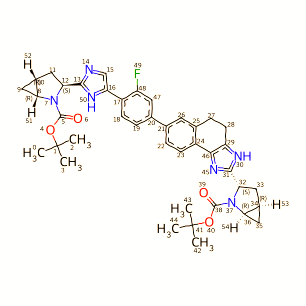 CC(C)(C)OC(=O)N1[C@@H]2C[C@@H]2C[C@H]1c1ncc(-c2ccc(-c3ccc4c(c3)CCc3[nH]c([C@@H]5C[C@H]6C[C@H]6N5C(=O)OC(C)(C)C)nc3-4)cc2F)[nH]1